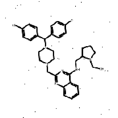 CCN1CCCC1CNc1nc(CN2CCN(C(c3ccc(Cl)cc3)c3ccc(Cl)cc3)CC2)nc2ccccc12